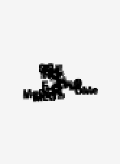 CO/N=C(\F)c1cc(/C(=C\CCCC(=O)OC)c2cc(C)c3oc(=O)n(C)c3c2)cc(C)c1OC